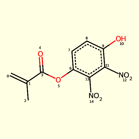 C=C(C)C(=O)Oc1ccc(O)c([N+](=O)[O-])c1[N+](=O)[O-]